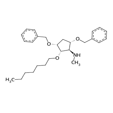 CCCCCCCO[C@H]1[C@H](NC)[C@@H](OCc2ccccc2)C[C@H]1OCc1ccccc1